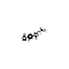 O=C1O[C@@H](CNC(=O)C(F)(F)F)CN1c1ccc(N2CCOC2=O)c(F)c1